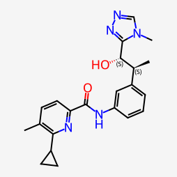 Cc1ccc(C(=O)Nc2cccc([C@H](C)[C@H](O)c3nncn3C)c2)nc1C1CC1